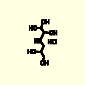 Cl.OCC(O)CNC(O)C(O)O